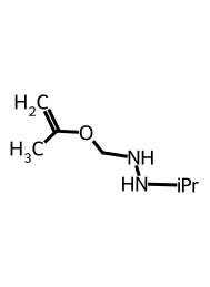 C=C(C)OCNNC(C)C